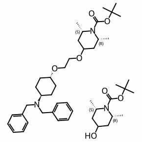 C[C@@H]1CC(O)C[C@H](C)N1C(=O)OC(C)(C)C.C[C@@H]1CC(OCCO[C@H]2CC[C@H](N(Cc3ccccc3)Cc3ccccc3)CC2)C[C@H](C)N1C(=O)OC(C)(C)C